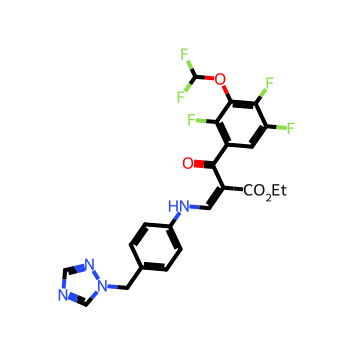 CCOC(=O)C(=CNc1ccc(Cn2cncn2)cc1)C(=O)c1cc(F)c(F)c(OC(F)F)c1F